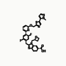 Cn1nccc1-c1cnc(COc2cccc(-c3cc(F)c(Cc4nc5ccc(C(=O)O)cc5n4CC4CCO4)cc3F)n2)s1